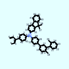 C=C/C(=C\C)c1ccc(N(c2ccc(-c3ccc(C)c(-c4ccccc4C)c3)cc2)c2ccc3c(c2)C(C)(C)c2ccccc2-3)cc1